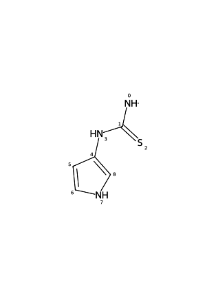 [NH]C(=S)Nc1cc[nH]c1